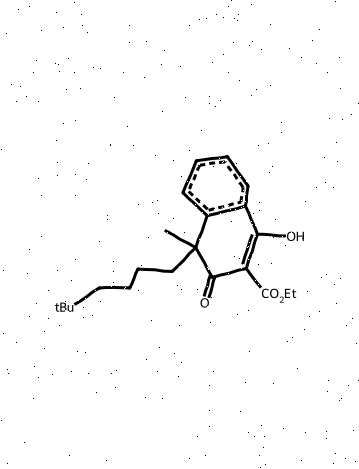 CCOC(=O)C1=C(O)c2ccccc2C(C)(CCCCC(C)(C)C)C1=O